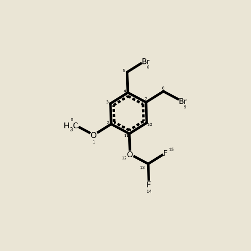 COc1cc(CBr)c(CBr)cc1OC(F)F